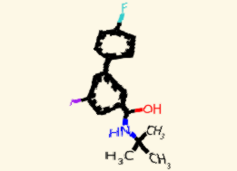 CC(C)(C)NC(O)c1cc(I)cc(-c2ccc(F)cc2)c1